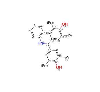 CC(C)c1cc(C(Nc2ccccc2)c2cc(C(C)C)c(O)c(C(C)C)c2)cc(C(C)C)c1O